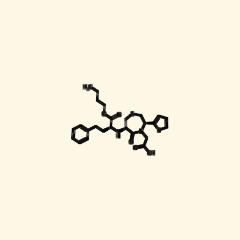 CCCCOC(=O)[C@H](CCc1ccccc1)N[C@H]1CSC[C@@H](c2cccs2)N(CC(=O)O)C1=O